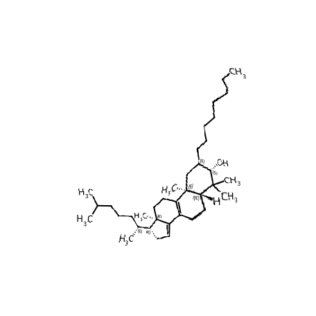 CCCCCCCC[C@@H]1C[C@]2(C)C3=C(CC[C@H]2C(C)(C)[C@H]1O)C1=CC[C@H]([C@H](C)CCCC(C)C)[C@@]1(C)CC3